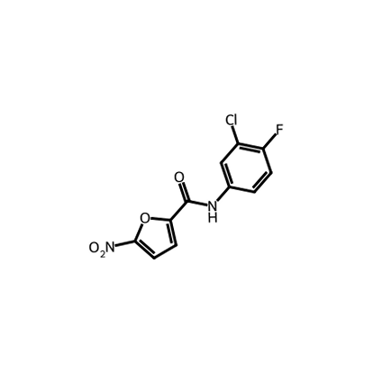 O=C(Nc1ccc(F)c(Cl)c1)c1ccc([N+](=O)[O-])o1